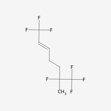 CC(F)(CCC=CC(F)(F)F)C(F)(F)F